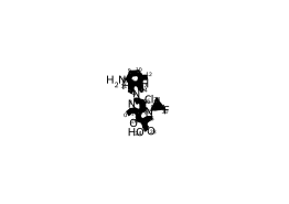 Cc1nc(N2C[C@@H]3[C@H](N)C=CC(C)[C@H]3C2)c(Cl)c2c1c(=O)c(C(=O)O)cn2[C@@H]1C[C@@H]1F